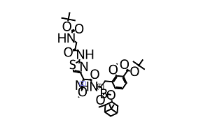 CO/N=C(\C(=O)N[C@@H](Cc1cccc(C(=O)OC(C)(C)C)c1OC)B1OC2CC3CC(C3(C)C)C2(C)O1)c1csc(NC(=O)CNC(=O)OC(C)(C)C)n1